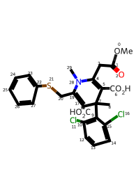 COC(=O)CC1=C(C(=O)O)C(C)(c2c(Cl)cccc2Cl)C(C(=O)O)=C(CSc2ccccc2)N1C